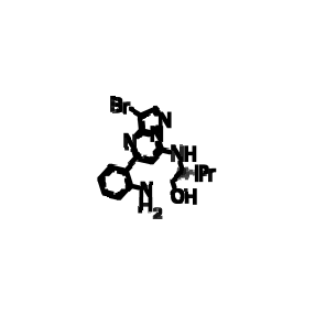 CC(C)[C@H](CO)Nc1cc(-c2ccccc2N)nc2c(Br)cnn12